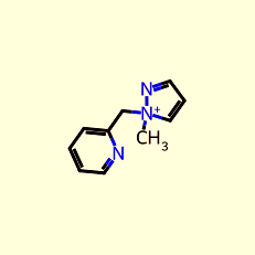 C[N+]1(Cc2ccccn2)C=CC=N1